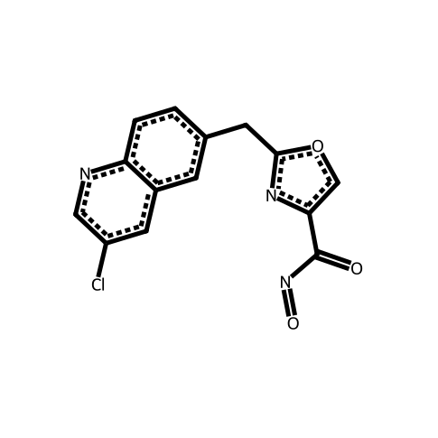 O=NC(=O)c1coc(Cc2ccc3ncc(Cl)cc3c2)n1